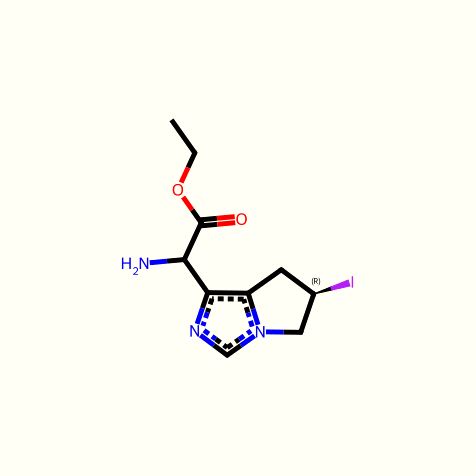 CCOC(=O)C(N)c1ncn2c1C[C@@H](I)C2